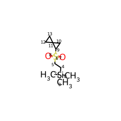 C[Si](C)(C)CCS(=O)(=O)C1CC12CC2